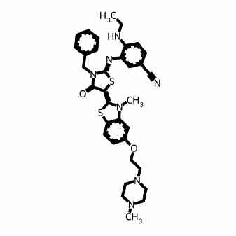 CCNc1ccc(C#N)cc1N=C1SC(=C2Sc3ccc(OCCN4CCN(C)CC4)cc3N2C)C(=O)N1Cc1ccccc1